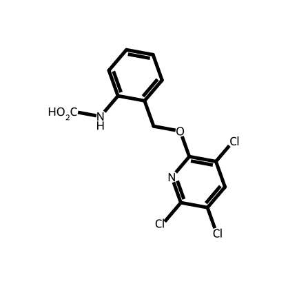 O=C(O)Nc1ccccc1COc1nc(Cl)c(Cl)cc1Cl